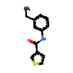 CCc1cccc(NC(=O)c2ccsc2)c1